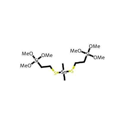 CO[Si](CC[S][Sn]([CH3])([CH3])[S]CC[Si](OC)(OC)OC)(OC)OC